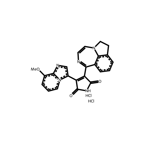 COc1cccn2c(C3=C(C4=NC=CN5CCc6cccc4c65)C(=O)NC3=O)cnc12.Cl.Cl